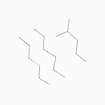 CCCC(C)C.CCCCCC.CCCCCC